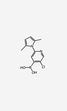 Cc1ccc(C)n1-c1cc(B(O)O)c(Cl)cn1